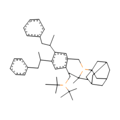 CC(Cc1ccccc1)c1cc(CP(C(C)(C)C)C(C)(C)C)c(CP(C(C)(C)C)C23CC4CC(CC(C4)C2)C3)cc1C(C)Cc1ccccc1